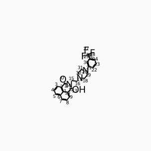 O=C1c2cccc3cccc(c23)C(O)N1CCN1CCN(c2cccc(C(F)(F)F)c2)CC1